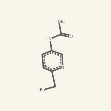 CC(C)(C)Cc1ccc(NC(=O)C(C)(C)C)cn1